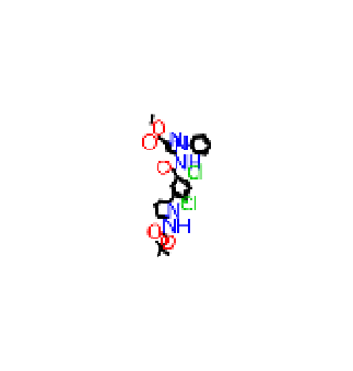 CCOC(=O)c1cc(NC(=O)c2cc(-c3cccc(NC(=O)OC(C)(C)C)n3)c(Cl)cc2Cl)n(-c2ccccc2)n1